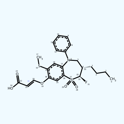 CCCC[C@H]1CN(c2ccccc2)c2cc(SC)c(O/C=C/C(=O)O)cc2S(=O)(=O)[C@@H]1F